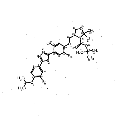 CC(C)Oc1ccc(-c2nnc(-c3cc(F)c(OC[C@H]4COC(C)(C)N4C(=O)OC(C)(C)C)cc3Cl)s2)cc1Br